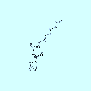 C=CCCCC=CCOC(C)OC(=O)CCC(=O)O